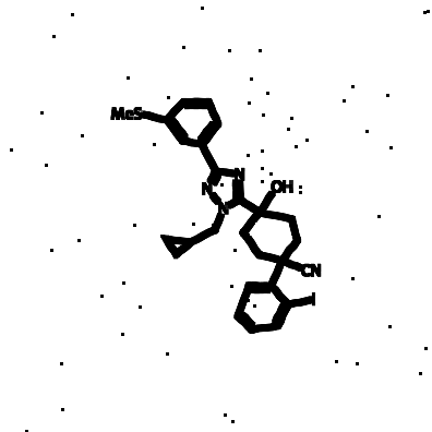 CSc1cccc(-c2nc(C3(O)CCC(C#N)(c4ccccc4I)CC3)n(CC3CC3)n2)c1